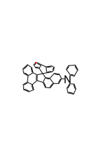 c1ccc(N(c2ccccc2)c2ccc3c4c(ccc3c2)-c2c(c3ccccc3c3ccccc23)C42c3ccccc3-c3ccccc32)cc1